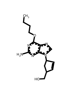 CCCCOc1nc(N)nc2c1ncn2C1C=CC(CO)C1